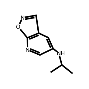 CC(C)Nc1cnc2oncc2c1